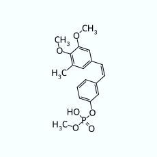 COc1cc(/C=C\c2cccc(OP(=O)(O)OC)c2)cc(C)c1OC